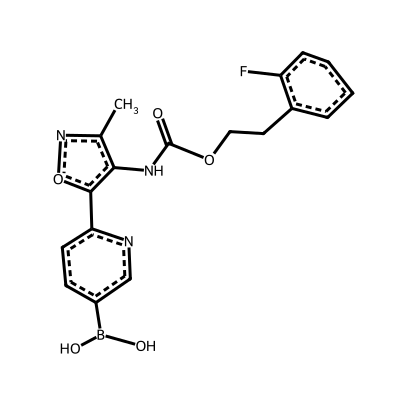 Cc1noc(-c2ccc(B(O)O)cn2)c1NC(=O)OCCc1ccccc1F